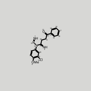 COc1ccc(N(N=N)C(=N)CCC(=O)c2ccccc2)cc1Cl